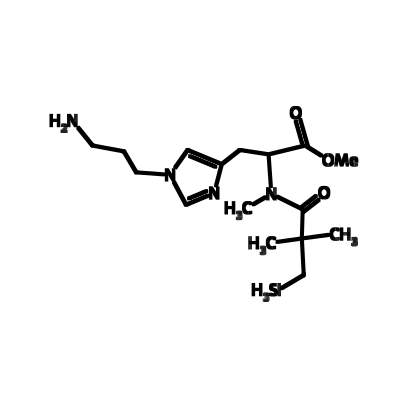 COC(=O)C(Cc1cn(CCCN)cn1)N(C)C(=O)C(C)(C)C[SiH3]